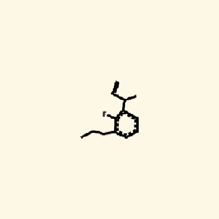 C=C[C](C)c1cccc(CCC)c1F